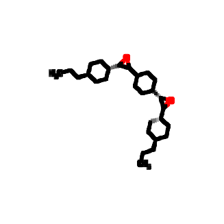 CCC[C@H]1CC[C@H](C2OC2C2CCC([C@@H]3O[C@H]3[C@H]3CC[C@H](CCC)CC3)CC2)CC1